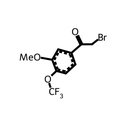 COc1cc(C(=O)CBr)ccc1OC(F)(F)F